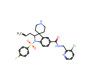 C=CCC1N(S(=O)(=O)c2ccc(F)cc2)c2ccc(C(=O)NCc3ncccc3Cl)cc2C12CCNCC2